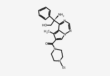 CCN1CCN(C(=O)c2cn3ncnc([C@](N)(CO)c4ccccc4)c3c2C)CC1